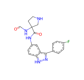 O=CNC1(C(=O)Nc2ccc3[nH]nc(-c4ccc(F)cc4)c3c2)CCNC1